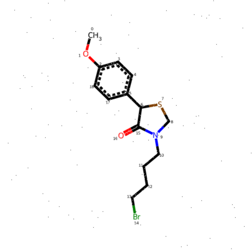 COc1ccc(C2SCN(CCCCBr)C2=O)cc1